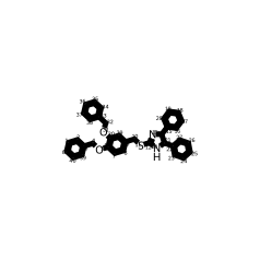 c1ccc(COc2ccc(CSC3=NC(c4ccccc4)C(c4ccccc4)N3)cc2OCc2ccccc2)cc1